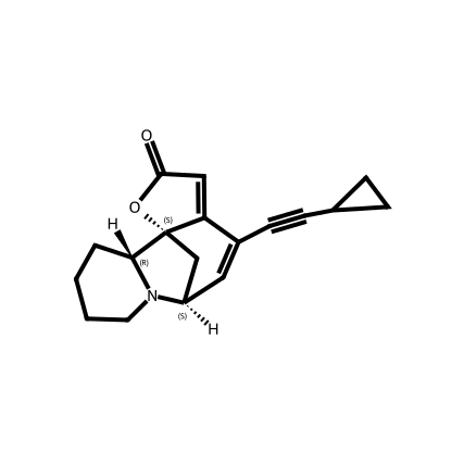 O=C1C=C2C(C#CC3CC3)=C[C@@H]3C[C@@]2(O1)[C@H]1CCCCN31